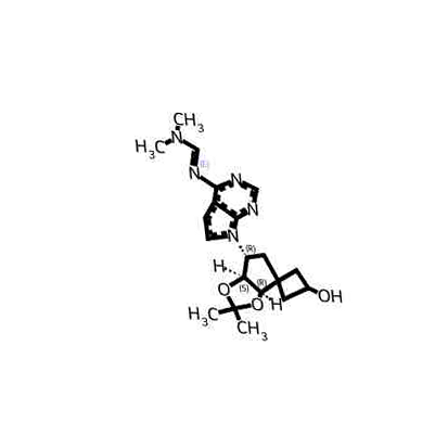 CN(C)/C=N/c1ncnc2c1ccn2[C@@H]1CC2(CC(O)C2)[C@H]2OC(C)(C)O[C@@H]12